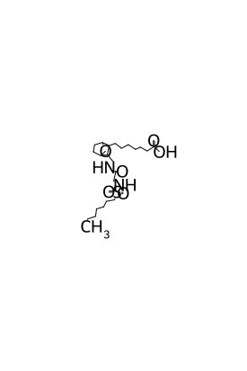 CCCCCCCS(=O)(=O)NCC(=O)NCC1C2CCC(O2)C1CCCCCCC(=O)O